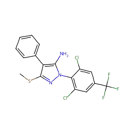 CSc1nn(-c2c(Cl)cc(C(F)(F)F)cc2Cl)c(N)c1-c1ccccc1